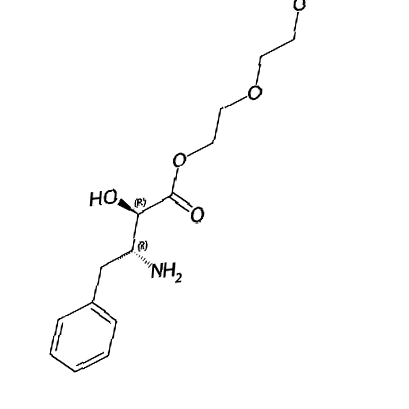 COCCOCCOC(=O)[C@H](O)[C@H](N)Cc1ccccc1